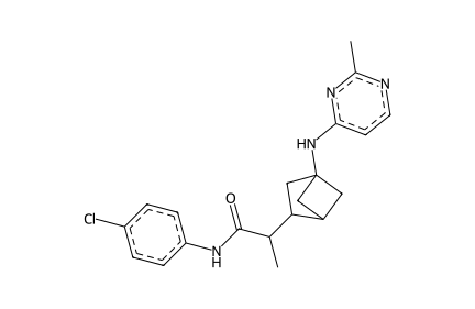 Cc1nccc(NC23CC(C2)C(C(C)C(=O)Nc2ccc(Cl)cc2)C3)n1